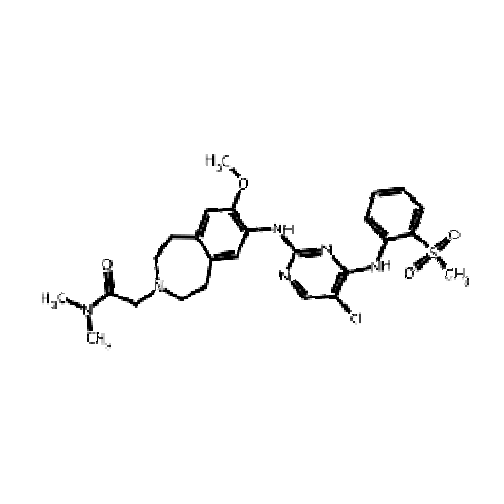 COc1cc2c(cc1Nc1ncc(Cl)c(Nc3ccccc3S(C)(=O)=O)n1)CCN(CC(=O)N(C)C)CC2